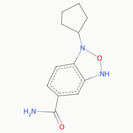 NC(=O)c1ccc2c(c1)NON2C1CCCC1